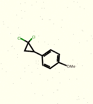 COc1ccc(C2CC2(Cl)Cl)cc1